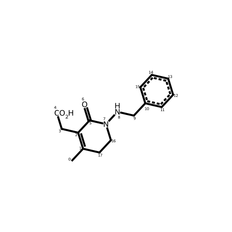 CC1=C(CC(=O)O)C(=O)N(NCc2ccccc2)CC1